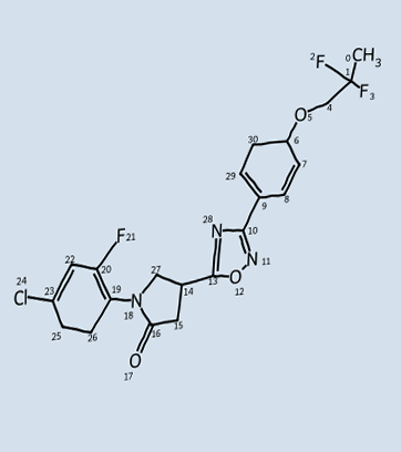 CC(F)(F)COC1C=CC(c2noc(C3CC(=O)N(C4=C(F)C=C(Cl)CC4)C3)n2)=CC1